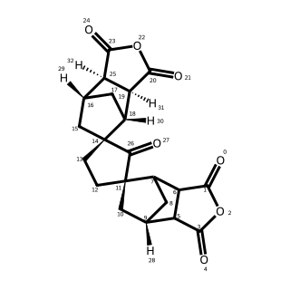 O=C1OC(=O)C2C1C1C[C@H]2C[C@]12CC[C@]1(C[C@H]3C[C@@H]1[C@@H]1C(=O)OC(=O)[C@H]31)C2=O